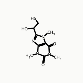 Cn1c(=O)c2c(nc(C(O)CS)n2C)n(C)c1=O